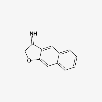 N=C1COc2cc3ccccc3cc21